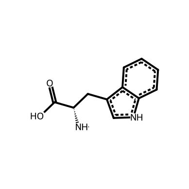 [NH][C@@H](Cc1c[nH]c2ccccc12)C(=O)O